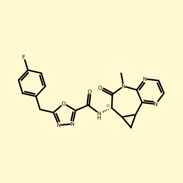 CN1C(=O)[C@@H](NC(=O)c2nnc(Cc3ccc(F)cc3)o2)C2CC2c2nccnc21